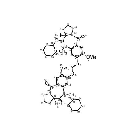 COc1cc2c(cc1OCOc1cc3c(cc1OC)C(=O)N1CCC[C@H]1[C@H](OC1CCCCO1)N3C)N(C)[C@@H](OC1CCCCO1)[C@@H]1CCCN1C2=O